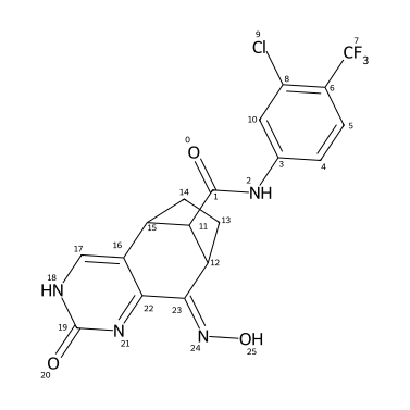 O=C(Nc1ccc(C(F)(F)F)c(Cl)c1)C1C2CCC1c1c[nH]c(=O)nc1C2=NO